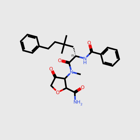 CN(C(=O)[C@H](CC(C)(C)CCc1ccccc1)NC(=O)c1ccccc1)C1C(=O)COC1C(N)=O